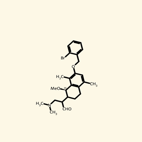 CO[C@H]1c2c(C)c(OCc3ccccc3Br)cc(C)c2CCC1C(C=O)CN(C)C